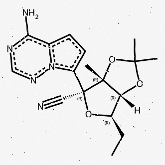 CC[C@H]1O[C@@](C#N)(c2ccc3c(N)ncnn23)[C@]2(C)OC(C)(C)O[C@H]12